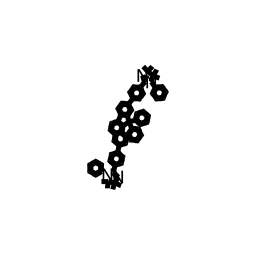 CC1(C)N=C(c2ccc(-c3ccc4c(c3)C(c3ccccc3)(c3ccccc3)c3c-4ccc4cc(-c5ccc(C6=NC(C)(C)C(C)(C)N6c6ccccc6)cc5)ccc34)cc2)N(c2ccccc2)C1(C)C